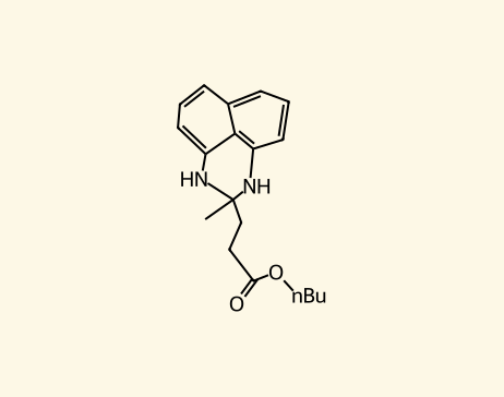 CCCCOC(=O)CCC1(C)Nc2cccc3cccc(c23)N1